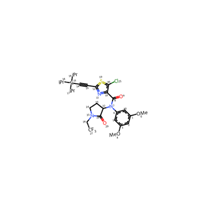 COc1cc(OC)cc(N(C(=O)c2nc(C#C[Si](C(C)C)(C(C)C)C(C)C)sc2Cl)C2CCN(CC(F)(F)F)C2=O)c1